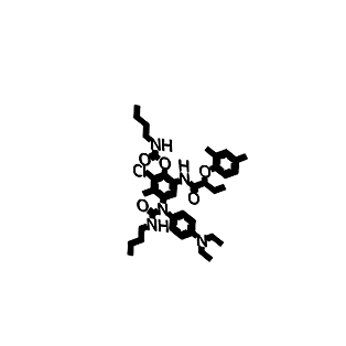 CCCCNC(=O)Oc1c(NC(=O)C(CC)Oc2ccc(C)cc2C)cc(N(C(=O)NCCCC)c2ccc(N(CC)CC)cc2)c(C)c1Cl